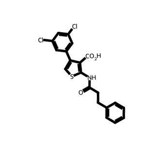 O=C(CCc1ccccc1)Nc1scc(-c2cc(Cl)cc(Cl)c2)c1C(=O)O